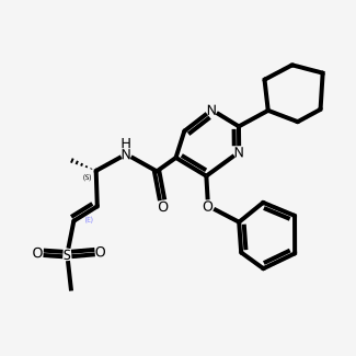 C[C@@H](/C=C/S(C)(=O)=O)NC(=O)c1cnc(C2CCCCC2)nc1Oc1ccccc1